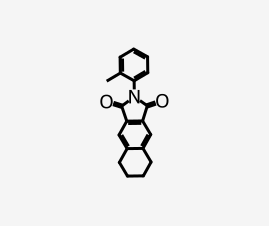 Cc1ccccc1N1C(=O)c2cc3c(cc2C1=O)CCCC3